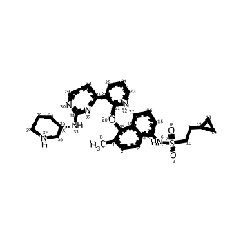 Cc1ccc2c(NS(=O)(=O)CCC3CC3)cccc2c1Oc1ncccc1-c1ccnc(N[C@H]2CCCNC2)n1